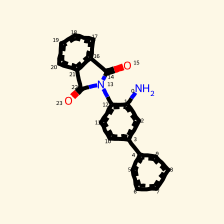 Nc1cc(-c2ccccc2)ccc1N1C(=O)c2ccccc2C1=O